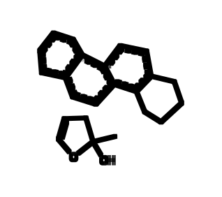 CC1(O)CC=CO1.c1ccc2c(c1)ccc1c3c(ccc12)CCCC3